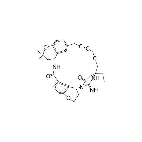 CCC12CCCCCCc3ccc4c(c3)C(CC(C)(C)O4)NC(=O)c3ccc4c(c3)C(CCO4)N(C(=N)N1)C(=O)C2